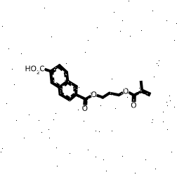 C=C(C)C(=O)OCCCOC(=O)c1ccc2cc(C(=O)O)ccc2c1